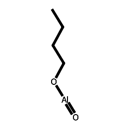 CCCC[O][Al]=[O]